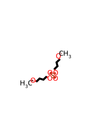 COCCCCOS(=O)(=O)OCCCCOC